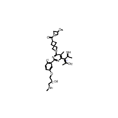 CNC[C@@H](O)COc1ccc(Cl)c(-c2nc(/C(C(C)=N)=C(\C)O)c(C)c(N3CC4(CC(C(=O)N5CC(OC)C5)C4)C3)n2)c1